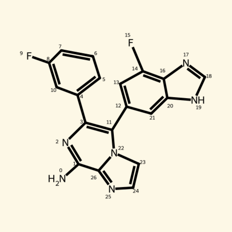 Nc1nc(-c2cccc(F)c2)c(-c2cc(F)c3nc[nH]c3c2)n2ccnc12